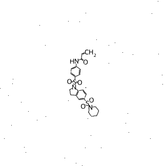 C=CC(=O)Nc1ccc(S(=O)(=O)N2CCc3cc(S(=O)(=O)N4CCCCC4)ccc32)cc1